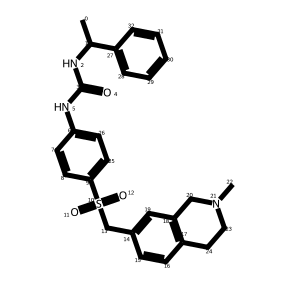 CC(NC(=O)Nc1ccc(S(=O)(=O)Cc2ccc3c(c2)CN(C)CC3)cc1)c1ccccc1